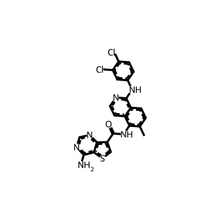 Cc1ccc2c(Nc3ccc(Cl)c(Cl)c3)nccc2c1NC(=O)c1csc2c(N)ncnc12